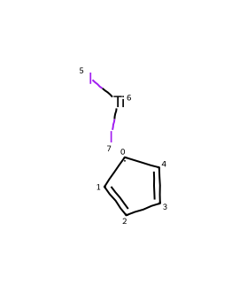 [CH]1C=CC=C1.[I][Ti][I]